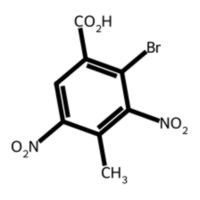 Cc1c([N+](=O)[O-])cc(C(=O)O)c(Br)c1[N+](=O)[O-]